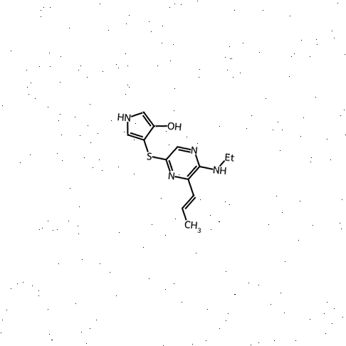 CC=Cc1nc(Sc2c[nH]cc2O)cnc1NCC